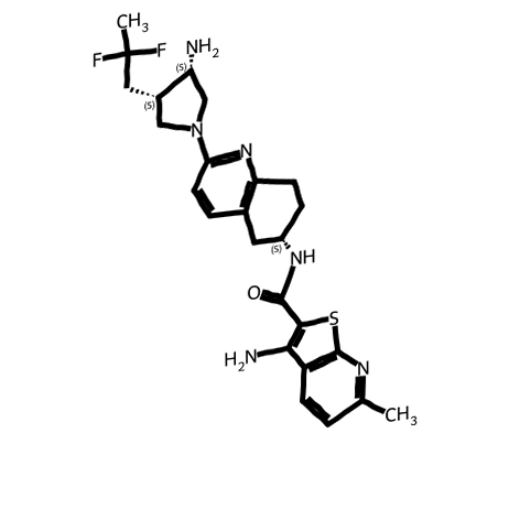 Cc1ccc2c(N)c(C(=O)N[C@H]3CCc4nc(N5C[C@H](CC(C)(F)F)[C@H](N)C5)ccc4C3)sc2n1